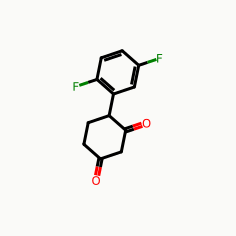 O=C1CCC(c2cc(F)ccc2F)C(=O)C1